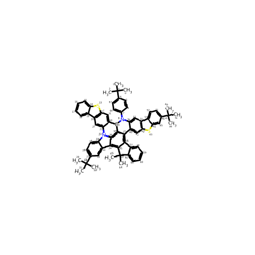 CC(C)(C)c1ccc(N2B3c4cc5sc6ccccc6c5cc4-n4c5ccc(C(C)(C)C)cc5c5c6c(c(c3c54)-c3cc4sc5cc(C(C)(C)C)ccc5c4cc32)-c2ccccc2C6(C)C)cc1